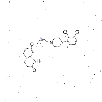 O=C1CCc2ccc(OC/C=C\CN3CCN(c4cccc(Cl)c4Cl)CC3)cc2N1